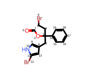 O=COC(CCBr)(Cc1c[nH]c(Br)c1)c1ccccc1